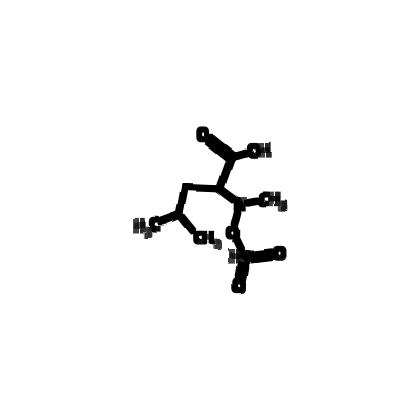 CC(C)CC(C(=O)O)N(C)O[SH](=O)=O